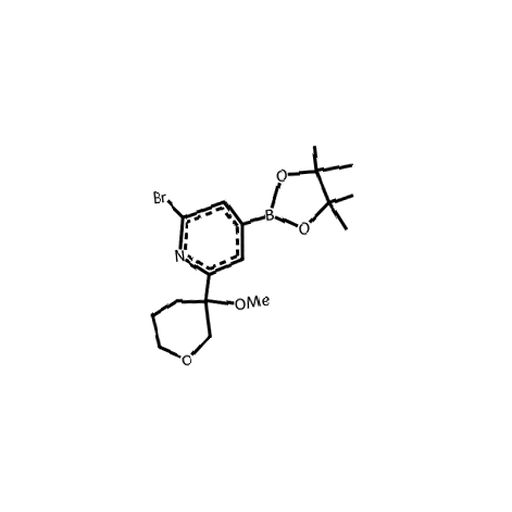 COC1(c2cc(B3OC(C)(C)C(C)(C)O3)cc(Br)n2)CCCOC1